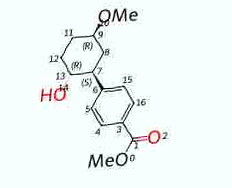 COC(=O)c1ccc([C@@H]2C[C@H](OC)CC[C@H]2O)cc1